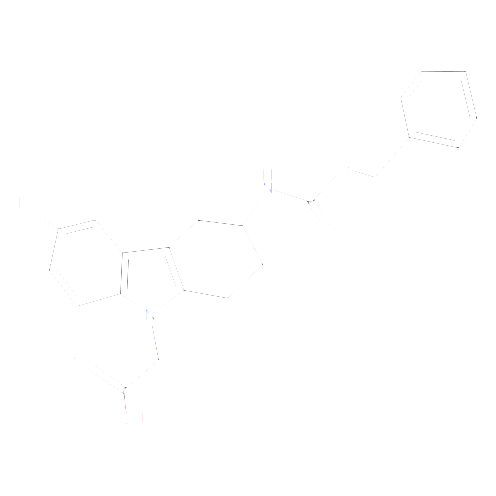 O=C(O)Cn1c2c(c3cc(F)ccc31)CC(NC(=O)OCc1ccccc1)CC2